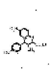 CCOC(=O)C1N=C2C=CC([N+](=O)[O-])=CN2C(c2ccc(O)cc2)C1C